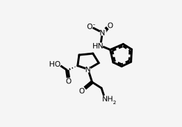 NCC(=O)N1CCC[C@H]1C(=O)O.O=[N+]([O-])Nc1ccccc1